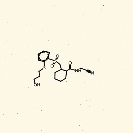 N#CCNC(=O)C1CCCCC1CS(=O)(=O)c1ccccc1SCCCO